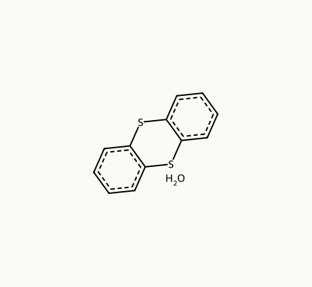 O.c1ccc2c(c1)Sc1ccccc1S2